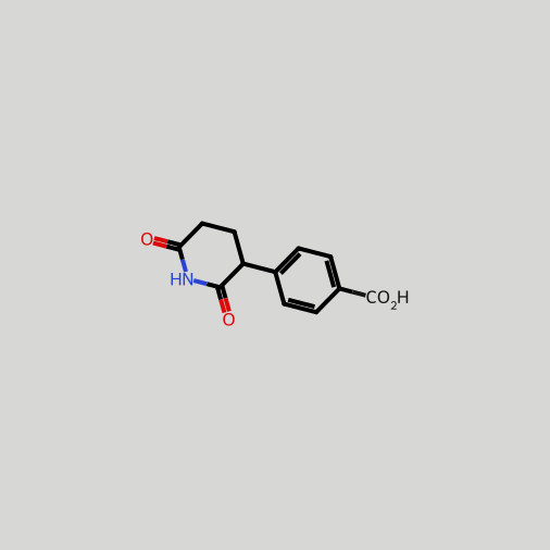 O=C1CCC(c2ccc(C(=O)O)cc2)C(=O)N1